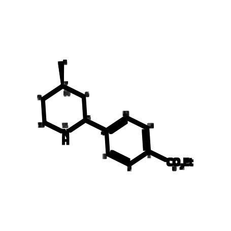 CCOC(=O)c1ccc(C2C[C@H](C)CCN2)cc1